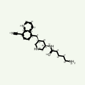 N#Cc1ccc(C[C@@H]2CNC[C@H](NC(=O)CCCCN)C2)c2cccnc12